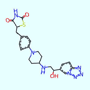 O=C1NC(=O)C(Cc2ccc(N3CCC(NC[C@H](O)c4ccc5nnnn5c4)CC3)cc2)S1